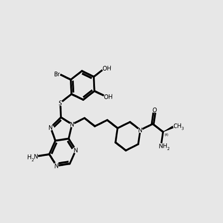 C[C@@H](N)C(=O)N1CCCC(CCCn2c(Sc3cc(O)c(O)cc3Br)nc3c(N)ncnc32)C1